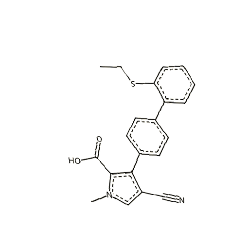 CCSc1ccccc1-c1ccc(-c2c(C#N)cn(C)c2C(=O)O)cc1